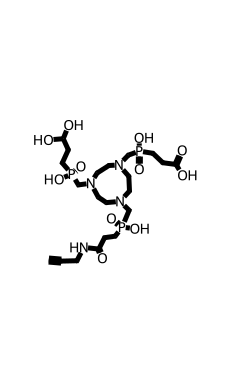 C#CCNC(=O)CCP(=O)(O)CN1CCN(CP(=O)(O)CCC(=O)O)CCN(CP(=O)(O)CCC(O)O)CC1